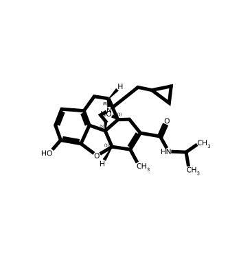 CC1=C(C(=O)NC(C)C)C[C@@]2(O)[C@H]3Cc4ccc(O)c5c4[C@@]2(CCN3CC2CC2)[C@H]1O5